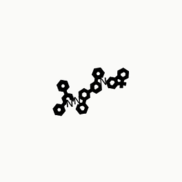 CC1(C)C2=CCC(N3c4ccccc4C4C=C(C5CCC6C(C5)C5CCC=CC5N6c5cc(-c6ccccc6)cc(-c6ccccc6)n5)C=CC43)CC2C2=C1CCC=C2